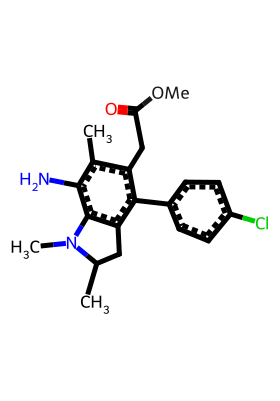 COC(=O)Cc1c(C)c(N)c2c(c1-c1ccc(Cl)cc1)CC(C)N2C